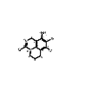 Nc1c(Br)c(Br)c2c3c1CN=C(Cl)N3CCC2